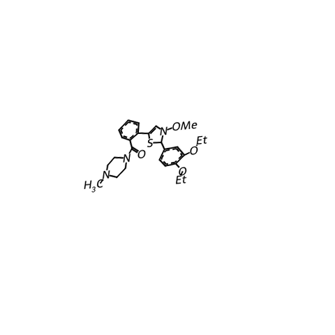 CCOc1ccc(C2SC(c3ccccc3C(=O)N3CCN(C)CC3)=CN2OC)cc1OCC